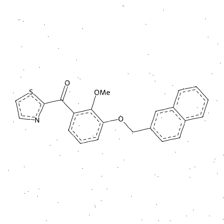 COc1c(OCc2ccc3ccccc3c2)cccc1C(=O)c1nccs1